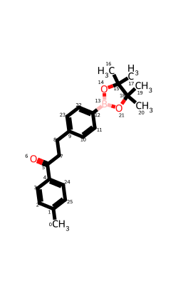 Cc1ccc(C(=O)CCc2ccc(B3OC(C)(C)C(C)(C)O3)cc2)cc1